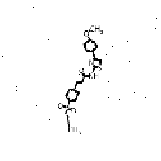 CCCCS(=O)(=O)c1ccc(/C=C/C(=O)Nc2nc(-c3ccc(OC)cc3)cs2)cc1